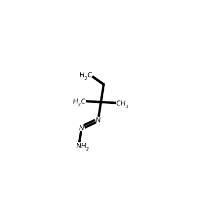 CCC(C)(C)N=NN